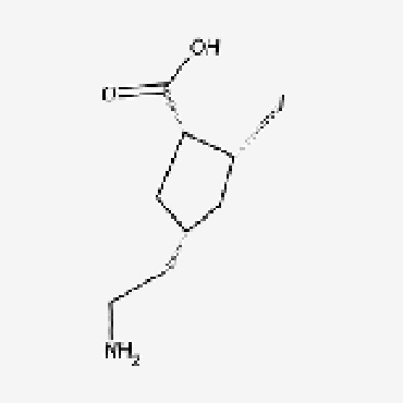 NCC[C@H]1C[C@@H](I)[C@@H](C(=O)O)C1